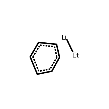 [Li][CH2]C.c1ccccc1